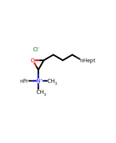 CCCCCCCCCCC1OC1[N+](C)(C)CCC.[Cl-]